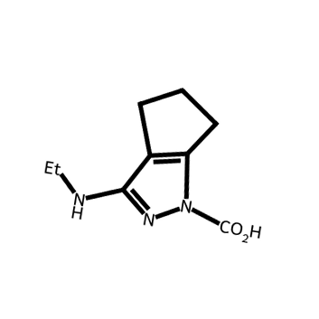 CCNc1nn(C(=O)O)c2c1CCC2